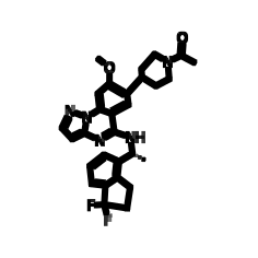 COc1cc2c(cc1C1CCN(C(C)=O)CC1)c(N[C@H](C)c1cccc3c1CCC3(F)F)nc1ccnn12